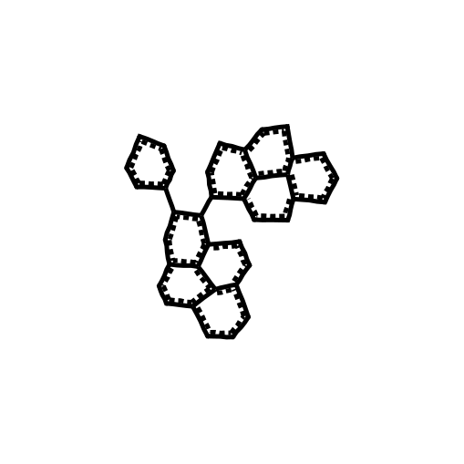 c1ccc(-c2cc3ccc4cccc5ccc(c2-c2ccc6ccc7cccc8ccc2c6c78)c3c45)cc1